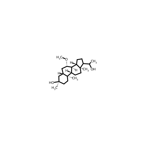 CO[C@H]1C[C@H]2C[C@](C)(O)CC[C@]2(C)[C@H]2CC[C@]3(C)C(C(C)O)CC[C@H]3[C@H]12